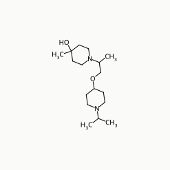 CC(C)N1CCC(OCC(C)N2CCC(C)(O)CC2)CC1